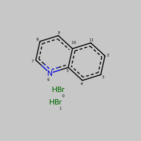 Br.Br.c1ccc2ncccc2c1